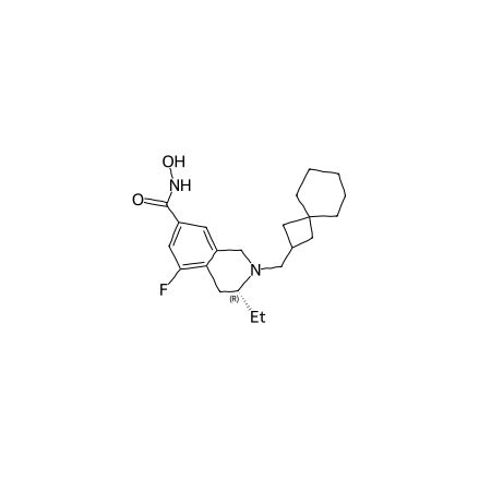 CC[C@@H]1Cc2c(F)cc(C(=O)NO)cc2CN1CC1CC2(CCCCC2)C1